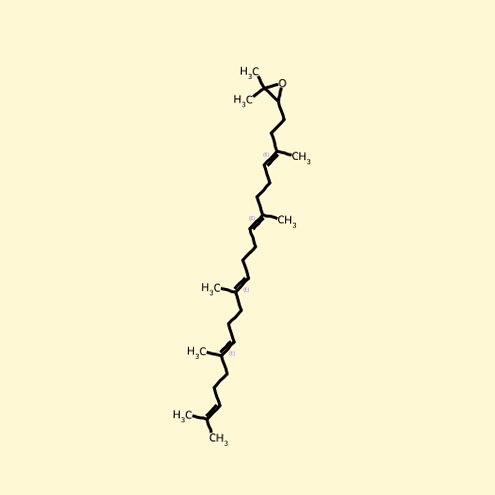 CC(C)=CCC/C(C)=C/CC/C(C)=C/CC/C=C(\C)CC/C=C(\C)CCC1OC1(C)C